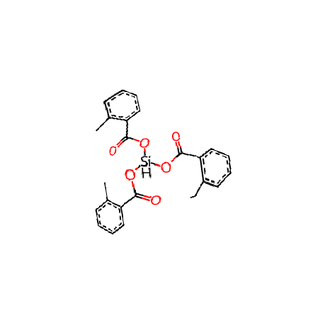 Cc1ccccc1C(=O)O[SiH](OC(=O)c1ccccc1C)OC(=O)c1ccccc1C